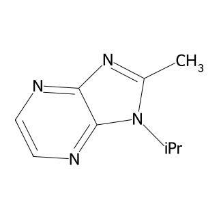 Cc1nc2nccnc2n1C(C)C